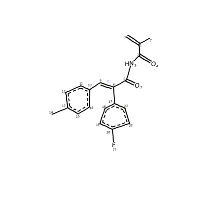 C=C(C)C(=O)NC(=O)/C(=C/c1ccc(C)cc1)c1ccc(F)cc1